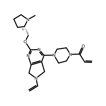 C=CC(=O)N1CCN(c2nc(OC[C@@H]3CCCN3C)nc3c2CN(C=C)C3)CC1